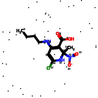 CCCCNC1=C(C(=O)O)C(C)([N+](=O)[O-])NC(Cl)=C1